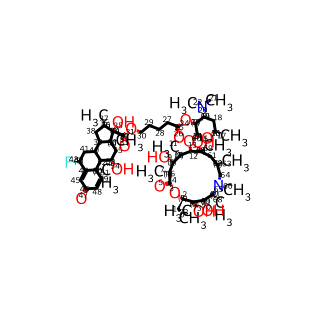 CC[C@H]1OC(=O)[C@H](C)[C@@H](O)[C@H](C)C(O[C@@H]2O[C@H](C)C[C@@H](N(C)C)[C@H]2OC(=O)CCCCOC(=O)[C@@]2(O)[C@H](C)CC3C4C[C@H](F)C5=CC(=O)C=C[C@]5(C)C4[C@@H](O)C[C@@]32C)[C@](C)(O)C[C@@H](C)CN(C)[C@H](C)[C@@H](O)[C@]1(C)O